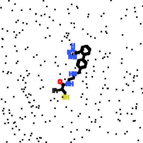 CC(C)C(CS)C(=O)NCCNCc1ccc(-c2ccccc2-c2nnn[nH]2)cc1